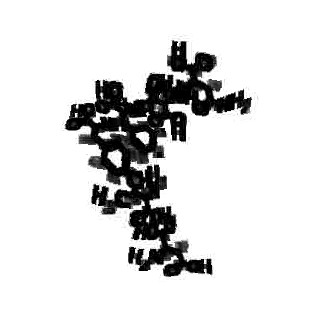 CC(C)C(N)C(=O)O.CC(C)C(N)C(=O)O.NC(=O)CC(N)C(=O)O.NC(CC(=O)O)C(=O)O.NC(Cc1ccccc1)C(=O)O.NC(Cc1ccccc1)C(=O)O